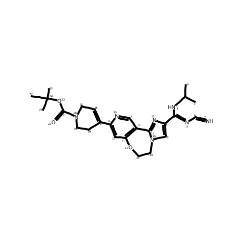 CC(C)N/C(=N\C=N)c1cn2c(n1)-c1cnc(C3=CCN(C(=O)OC(C)(C)C)CC3)cc1OCC2